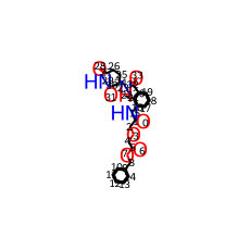 O=C(COCC(=O)OCc1ccccc1)Nc1cccc2c1CN(C1CCC(=O)NC1O)C2=O